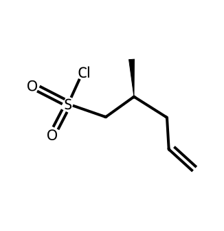 C=CC[C@H](C)CS(=O)(=O)Cl